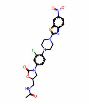 CC(=O)NCC1CN(c2ccc(N3CCN(c4nc5ccc([N+](=O)[O-])cc5s4)CC3)c(F)c2)C(=O)O1